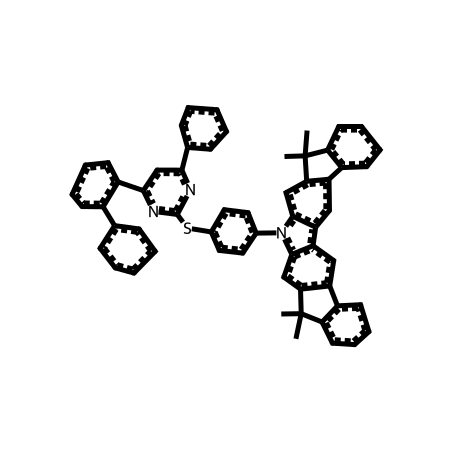 CC1(C)c2ccccc2-c2cc3c4cc5c(cc4n(-c4ccc(Sc6nc(-c7ccccc7)cc(-c7ccccc7-c7ccccc7)n6)cc4)c3cc21)C(C)(C)c1ccccc1-5